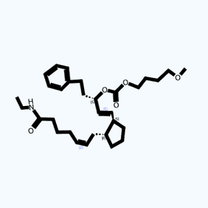 CCNC(=O)CCC/C=C\C[C@H]1CCC[C@@H]1/C=C/[C@H](CCc1ccccc1)OC(=O)OCCCCOC